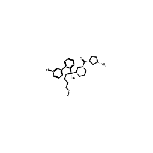 COCCCC[C@@](O)(c1ccccc1-c1cccc(Cl)c1)[C@@H]1CCCN(C(=O)[C@@H]2CC[C@H](N)C2)C1